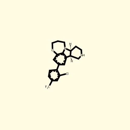 FC(F)(F)c1ccc(-c2cc3c4c(c2)[C@@H]2CNCC[C@@H]2N4CCCO3)c(Cl)c1